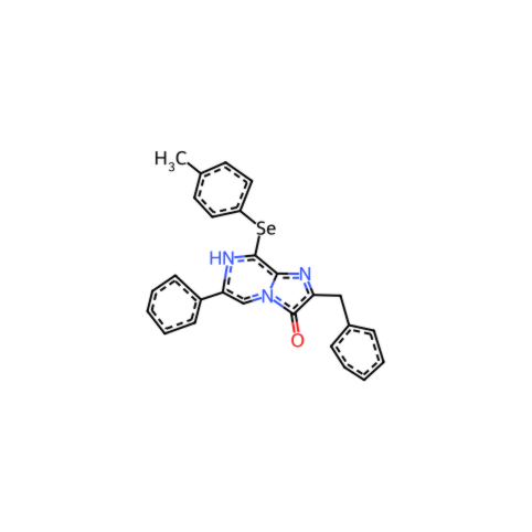 Cc1ccc([Se]c2[nH]c(-c3ccccc3)cn3c(=O)c(Cc4ccccc4)nc2-3)cc1